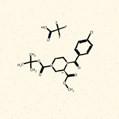 COC(=O)[C@H]1CN(C(=O)OC(C)(C)C)CCN1C(=O)c1ccc(Cl)cc1.O=C(O)C(F)(F)F